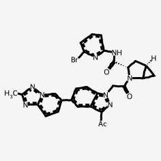 CC(=O)c1nn(CC(=O)N2C3C[C@@H]3C[C@H]2C(=O)Nc2cccc(Br)n2)c2ccc(-c3ccc4nc(C)nn4c3)cc12